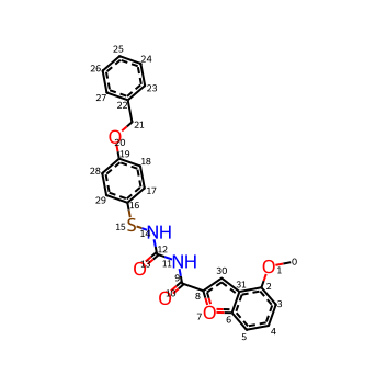 COc1cccc2oc(C(=O)NC(=O)NSc3ccc(OCc4ccccc4)cc3)cc12